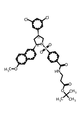 COc1ccc2cc([C@H]3C[C@@H](c4cc(Cl)cc(Cl)c4)CN3S(=O)(=O)c3ccc(C(=O)NCCC(=O)OC(C)(C)C)cc3)ccc2c1